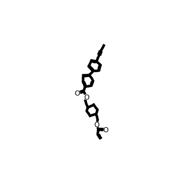 C=CC(=O)OCC1CCC(COC(=O)c2ccc(-c3ccc(C#CC)cc3)cc2)CC1